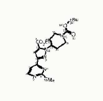 CCOC(=O)c1cc(-c2ccnc(SC)n2)nn1C1CCN(C(=O)OC(C)(C)C)CC1